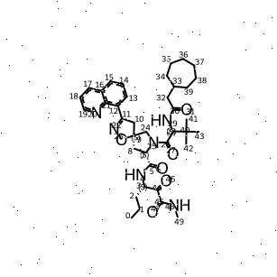 CCC[C@H](NC(=O)[C@@H]1C[C@]2(CC(c3cccc4cccnc34)=NO2)CN1C(=O)[C@@H](NC(=O)CC1CCCCCC1)C(C)(C)C)C(=O)C(=O)NC